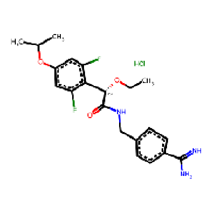 CCO[C@H](C(=O)NCc1ccc(C(=N)N)cc1)c1c(F)cc(OC(C)C)cc1F.Cl